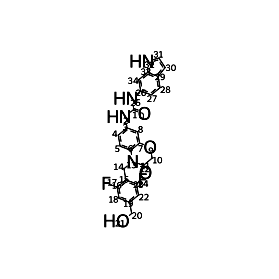 O=C(Nc1ccc2c(c1)OCC(=O)N2Cc1c(F)cc(CO)cc1F)Nc1ccc2cc[nH]c2c1